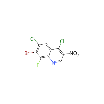 O=[N+]([O-])c1cnc2c(F)c(Br)c(Cl)cc2c1Cl